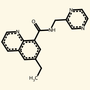 CCc1cc(C(=O)NCc2cnccn2)c2ncccc2c1